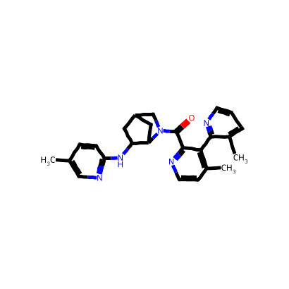 Cc1ccc(NC2CC3CC2N(C(=O)c2nccc(C)c2-c2ncccc2C)C3)nc1